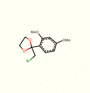 COc1ccc(C2(CBr)OCCO2)c(OC)c1